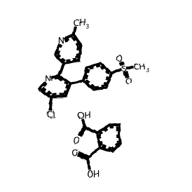 Cc1ccc(-c2ncc(Cl)cc2-c2ccc(S(C)(=O)=O)cc2)cn1.O=C(O)c1ccccc1C(=O)O